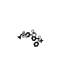 CC(=O)N(c1ccc(S(=O)(=O)CC2CC2)nc1)c1cccc(C(=O)N(c2ccccc2)C(C)(C)C)c1F